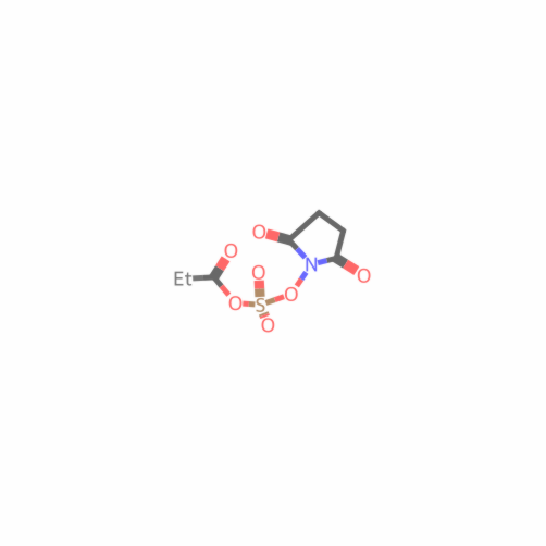 CCC(=O)OS(=O)(=O)ON1C(=O)CCC1=O